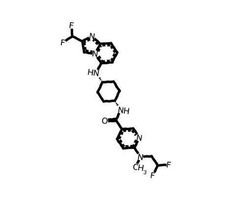 CN(CC(F)F)c1ccc(C(=O)N[C@H]2CC[C@@H](Nc3cccc4nc(C(F)F)cn34)CC2)cn1